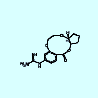 N=C(N)Nc1ccc2c(c1)OCCO[C@@H]1CCCC1OC2=O